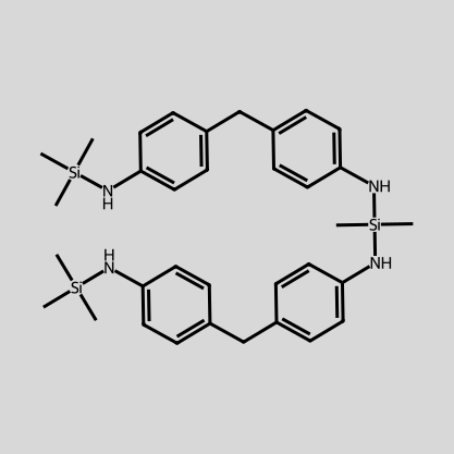 C[Si](C)(C)Nc1ccc(Cc2ccc(N[Si](C)(C)Nc3ccc(Cc4ccc(N[Si](C)(C)C)cc4)cc3)cc2)cc1